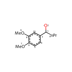 CCCC([O])c1ccc(OC)c(OC)c1